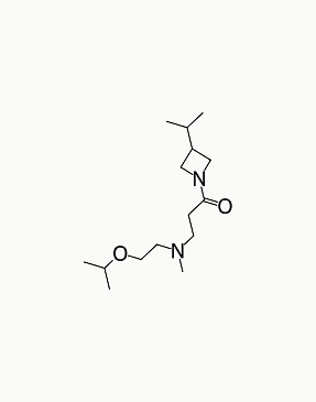 CC(C)OCCN(C)CCC(=O)N1CC(C(C)C)C1